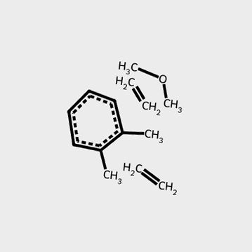 C=C.C=C.COC.Cc1ccccc1C